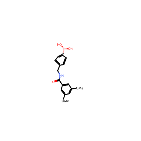 COc1cc(OC)cc(C(=O)NCc2ccc(B(O)O)cc2)c1